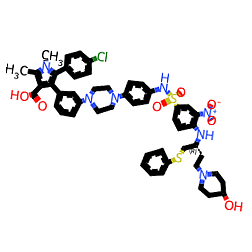 Cc1c(C(=O)O)c(-c2cccc(N3CCN(c4ccc(NS(=O)(=O)c5ccc(N[C@H](CCN6CCC(O)CC6)CSc6ccccc6)c([N+](=O)[O-])c5)cc4)CC3)c2)c(-c2ccc(Cl)cc2)n1C